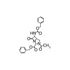 CC(=O)N1CC2C(NC(=O)OCc3ccccc3)C(=O)N2C1C(=O)OCc1ccccc1